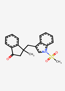 CC1(Cc2cn(S(C)(=O)=O)c3ccccc23)CC(=O)c2ccccc21